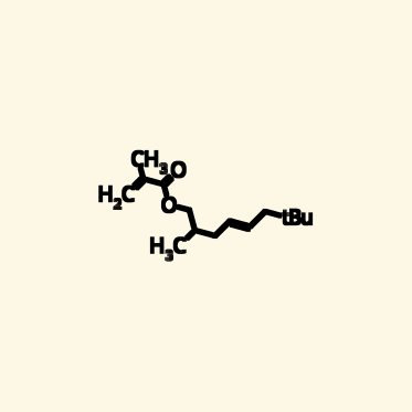 C=C(C)C(=O)OCC(C)C/C=C/CC(C)(C)C